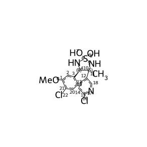 COc1cc([C@H]2NS(O)(O)N[C@@]2(C)c2ccc(Cl)nc2)ccc1Cl